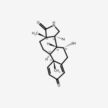 C[C@]12C=CC(=O)C=C1C[C@@H](S)[C@@H]1[C@@H]2CC[C@]2(C)C(=O)NC[C@@H]12